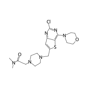 CN(C)C(=O)CN1CCN(Cc2cc3nc(Cl)nc(N4CCOCC4)c3s2)CC1